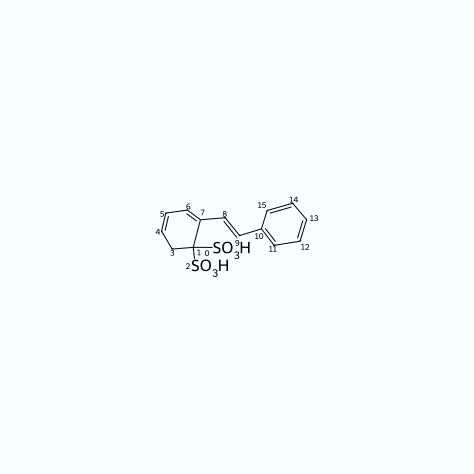 O=S(=O)(O)C1(S(=O)(=O)O)CC=CC=C1C=Cc1ccccc1